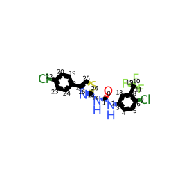 O=C(Nc1ccc(Cl)c(C(F)(F)F)c1)Nc1nc(-c2ccc(Cl)cc2)cs1